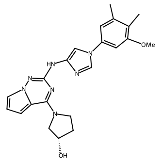 COc1cc(-n2cnc(Nc3nc(N4CC[C@H](O)C4)c4cccn4n3)c2)cc(C)c1C